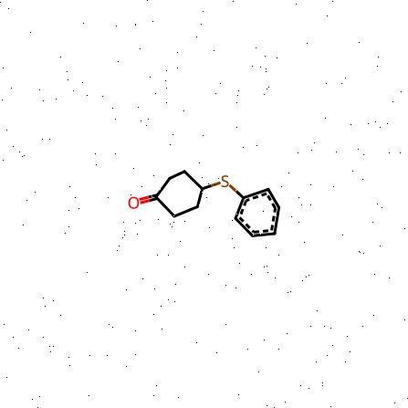 O=C1CCC(Sc2ccccc2)CC1